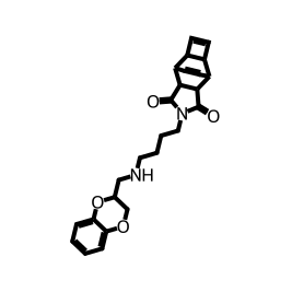 O=C1C2C3C=CC(C4C=CC43)C2C(=O)N1CCCCNCC1COc2ccccc2O1